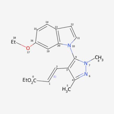 CCOC(=O)/C=C/c1c(C)nn(C)c1-n1ccc2ccc(OCC)cc21